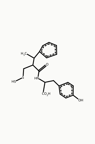 CC(c1ccccc1)C(CSS)C(=O)NC(Cc1ccc(O)cc1)C(=O)O